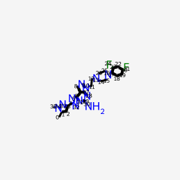 Cc1cc(-c2nc3c4cnn(CCN5CCN(c6ccc(F)cc6F)CC5)c4nc(N)n3n2)nn1C